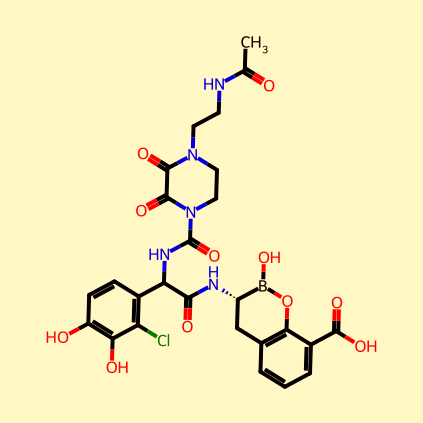 CC(=O)NCCN1CCN(C(=O)NC(C(=O)N[C@H]2Cc3cccc(C(=O)O)c3OB2O)c2ccc(O)c(O)c2Cl)C(=O)C1=O